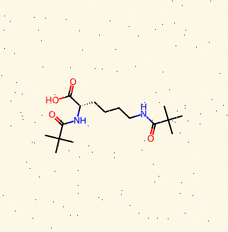 CC(C)(C)C(=O)NCCCC[C@H](NC(=O)C(C)(C)C)C(=O)O